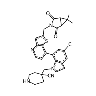 CC1(C)C2C(=O)N(Cc3cc4nccc(-c5cc(Cl)cc6ccn(CC7(C#N)CCNCC7)c56)c4s3)C(=O)C21